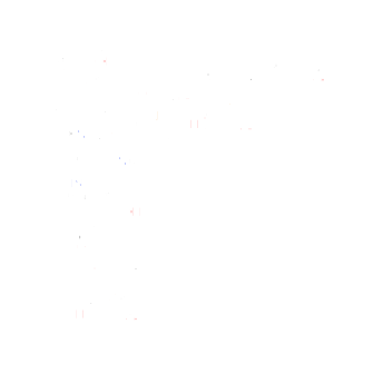 O=P(O)(O)O.O=P(O)(O)O.O=P(O)(O)O.O=P(O)(O)O.O=P(O)(O)O.O=P(O)(O)On1pn[pH][nH][pH]1